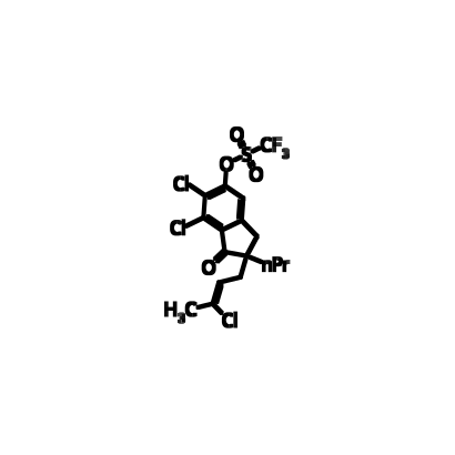 CCCC1(C/C=C(/C)Cl)Cc2cc(OS(=O)(=O)C(F)(F)F)c(Cl)c(Cl)c2C1=O